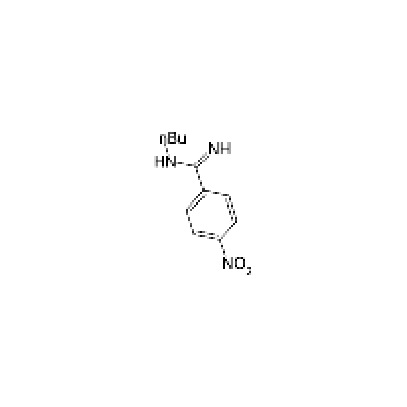 CCCCNC(=N)c1ccc([N+](=O)[O-])cc1